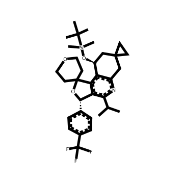 CC(C)c1nc2c(c3c1[C@H](c1ccc(C(F)(F)F)cc1)OC31CCOCC1)[C@@H](O[Si](C)(C)C(C)(C)C)CC1(CC1)C2